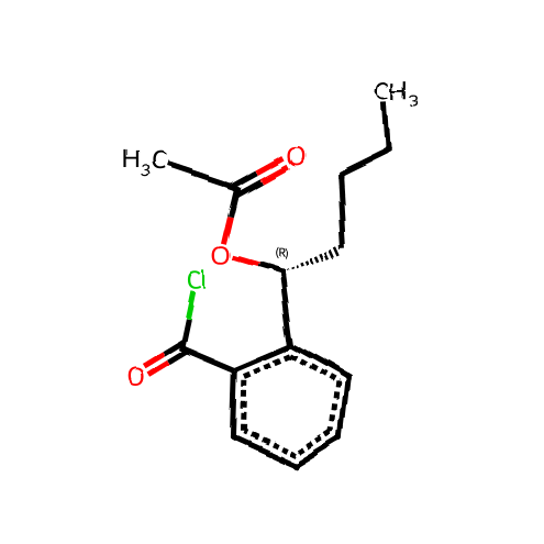 CCCC[C@@H](OC(C)=O)c1ccccc1C(=O)Cl